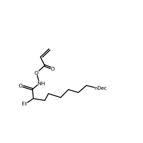 C=CC(=O)ONC(=O)C(CC)CCCCCCCCCCCCCCCC